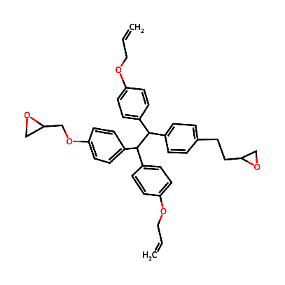 C=CCOc1ccc(C(c2ccc(CCC3CO3)cc2)C(c2ccc(OCC=C)cc2)c2ccc(OCC3CO3)cc2)cc1